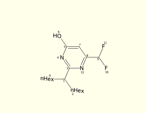 CCCCCCC(CCCCCC)c1nc(O)cc(C(F)F)n1